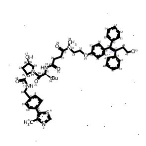 Cc1ncsc1-c1ccc(CNC(=O)[C@@H]2C[C@@H](O)CN2C(=O)[C@@H](NC(=O)CCC(=O)N(C)CCOc2ccc(/C(=C(/CCCl)c3ccccc3)c3ccccc3)cc2)C(C)(C)C)cc1